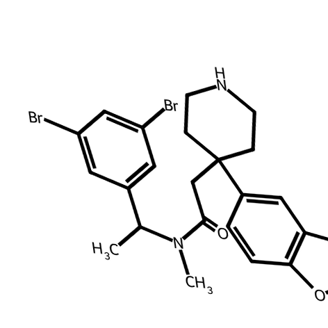 CC(c1cc(Br)cc(Br)c1)N(C)C(=O)CC1(c2ccc3c(c2)OCO3)CCNCC1